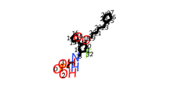 O=P(O)(O)CCCNCc1cc(-c2ccco2)c(OCCCCCc2ccccc2)cc1F